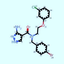 Nc1n[nH]cc1C(=O)N(CCOc1cccc(Cl)c1)Cc1ccc(Br)cc1